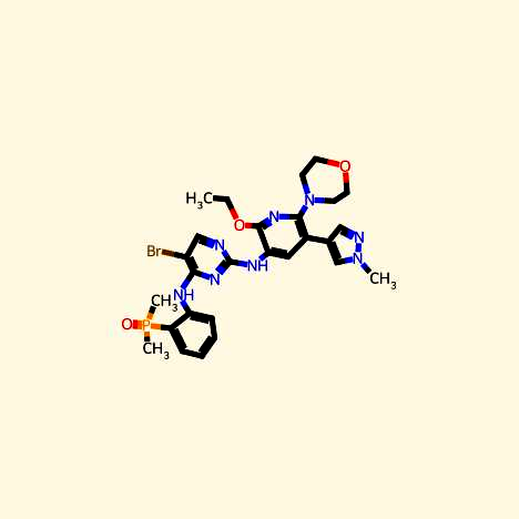 CCOc1nc(N2CCOCC2)c(-c2cnn(C)c2)cc1Nc1ncc(Br)c(Nc2ccccc2P(C)(C)=O)n1